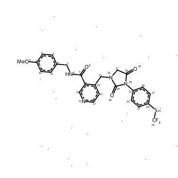 COc1ccc(CNC(=O)c2cnccc2CN2CC(=O)N(c3ccc(SC(F)(F)F)cc3)C2=O)cc1